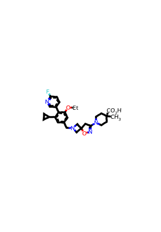 CCOc1cc(CN2CC3(CC(N4CCC(C)(C(=O)O)CC4)=NO3)C2)cc(C2CC2)c1-c1ccc(F)nc1